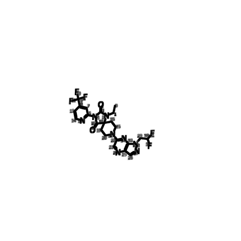 CCN1C(=O)N(c2cc(C(F)(F)F)ccn2)C(=O)C12CCN(c1cnc3cnn(CC(F)F)c3n1)CC2